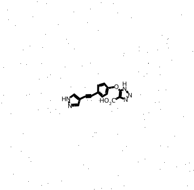 O=C(O)c1nn[nH]c1Oc1ccc(C#Cc2cn[nH]c2)cc1